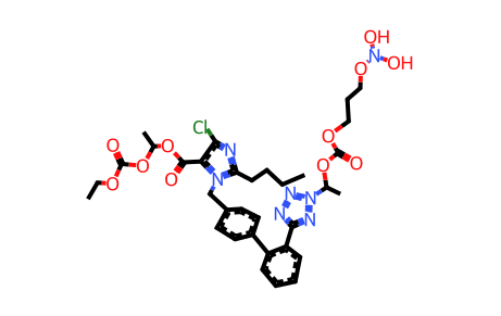 CCCCc1nc(Cl)c(C(=O)OC(C)OC(=O)OCC)n1Cc1ccc(-c2ccccc2-c2nnn(C(C)OC(=O)OCCCON(O)O)n2)cc1